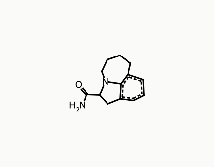 NC(=O)C1Cc2cccc3c2N1CCCC3